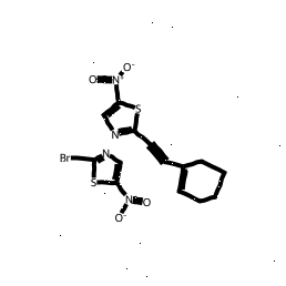 O=[N+]([O-])c1cnc(Br)s1.O=[N+]([O-])c1cnc(C#CC2=CCCCC2)s1